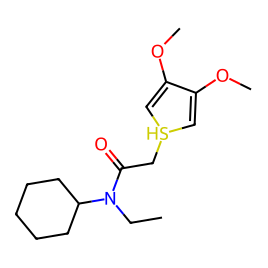 CCN(C(=O)C[SH]1C=C(OC)C(OC)=C1)C1CCCCC1